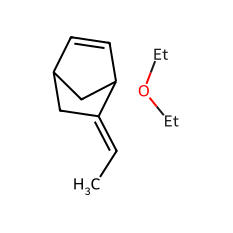 CC=C1CC2C=CC1C2.CCOCC